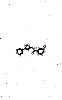 O=C(Nc1cc(-c2ccccc2)no1)c1cccc(Cl)c1